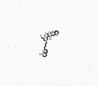 COC(CF)CN(CCCCc1ccc2c(n1)NCCC2)CCC(NC(=O)Cc1ncccc1F)C(=O)O